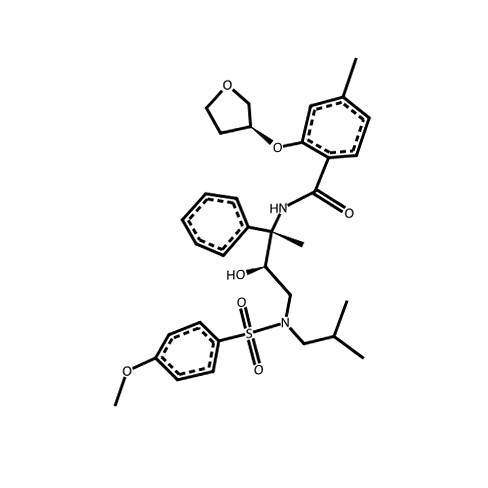 COc1ccc(S(=O)(=O)N(CC(C)C)C[C@@H](O)[C@@](C)(NC(=O)c2ccc(C)cc2O[C@H]2CCOC2)c2ccccc2)cc1